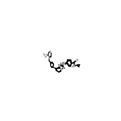 C[C@H]1COCCN1Cc1ccc(-c2cccn3nc(Nc4ccc(C(=O)NC5CC5)cc4)nc23)cc1